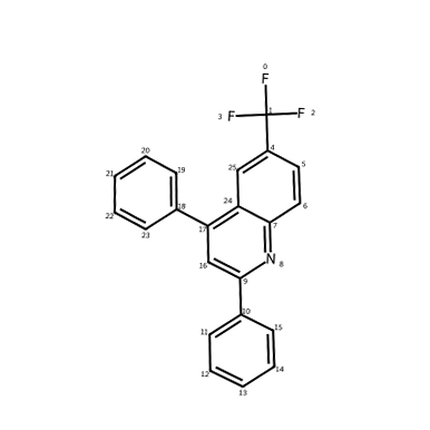 FC(F)(F)c1ccc2nc(-c3ccccc3)cc(-c3ccccc3)c2c1